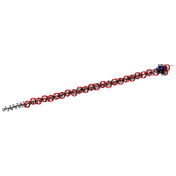 CCCCCCCCCCCCOCCOCCOCCOCCOCCOCCOCCOCCOCCOCCOCCOCCOCCOCCOCCOCCOCCOCCOCCOCCOCCOCCOCC[N+]1(C(C)(C)C)CCCC1C(=O)[O-]